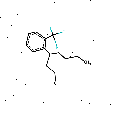 CCCCC(CCC)c1ccccc1C(F)(F)F